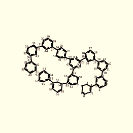 C1=CCCC(c2cccc(-c3cccc(-c4cccc(-c5nc(-c6ccc(-c7cccc(-c8cccc(-c9ccccc9)c8)c7)cc6)cc(-c6cccc(C7C=CC=C(c8ccccc8)C7)c6)n5)c4)c3)c2)=C1